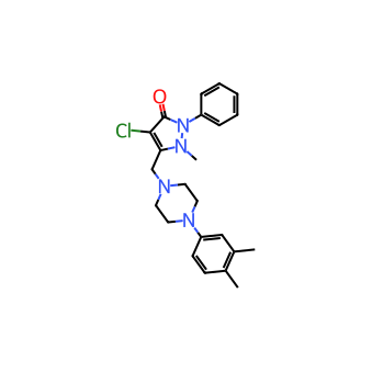 Cc1ccc(N2CCN(Cc3c(Cl)c(=O)n(-c4ccccc4)n3C)CC2)cc1C